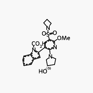 COc1nc(N2CC[C@H](O)C2)c(-c2cc3ccccc3n2C(=O)O)cc1S(=O)(=O)N1CCC1